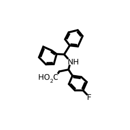 O=C(O)CC(NC(c1ccccc1)c1ccccc1)c1ccc(F)cc1